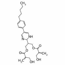 C=C(CO)C(=O)OCC(COC(=O)C(=C)CO)C1N=CC(c2ccc(CCCCC)cc2)=CN1